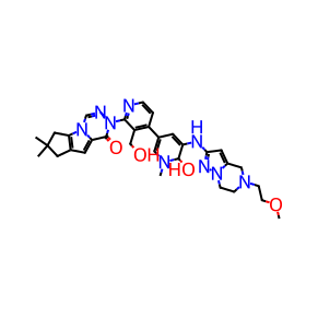 COCCN1CCn2nc(NC3=CC(c4ccnc(-n5ncn6c7c(cc6c5=O)CC(C)(C)C7)c4CO)=CN(C)C3O)cc2C1